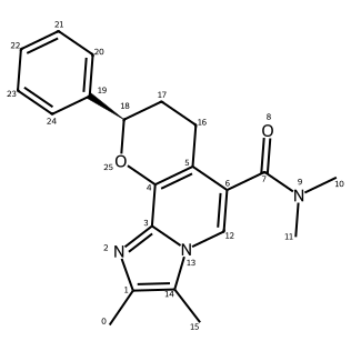 Cc1nc2c3c(c(C(=O)N(C)C)cn2c1C)CC[C@H](c1ccccc1)O3